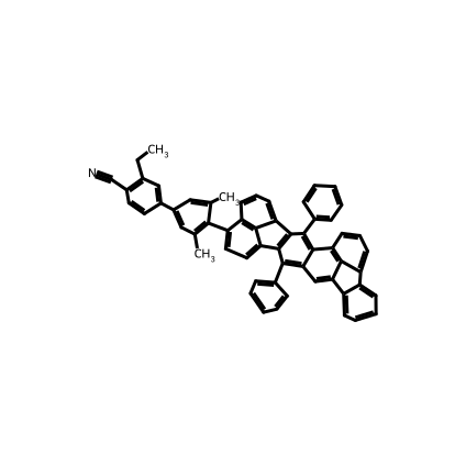 CCc1cc(-c2cc(C)c(-c3ccc4c5c(-c6ccccc6)c6cc7c8ccccc8c8cccc(c6c(-c6ccccc6)c5c5cccc3c45)c87)c(C)c2)ccc1C#N